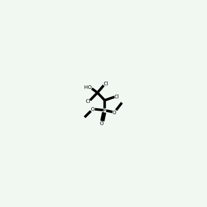 COP(=O)(OC)C(Cl)C(O)(Cl)Cl